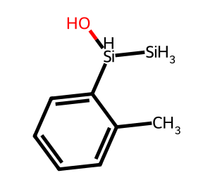 Cc1ccccc1[SiH](O)[SiH3]